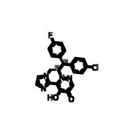 O=c1cnn2c(c1O)-c1nccn1C[C@@H]2[C@@H](c1ccc(F)cc1)c1ccc(Cl)cc1